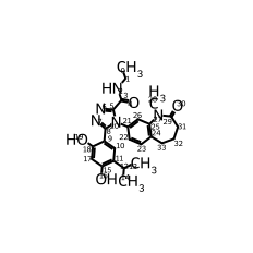 CCNC(=O)c1nnc(-c2cc(C(C)C)c(O)cc2O)n1-c1ccc2c(c1)N(C)C(=O)CCC2